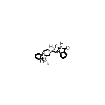 CCC1(C)C=CC=CC1N1CCN(CCN2c3ccccc3C(=O)NC2C)CC1